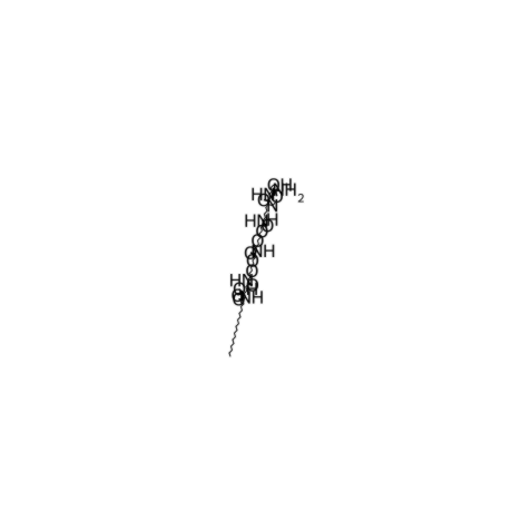 CCCCCCCCCCCCCCCCCC(=O)NC(CCC(=O)NCCOCCOCC(=O)NCCOCCOCC(=O)NCCCC[C@H](NC)C(=O)CNC(CO)C(N)=O)C(=O)O